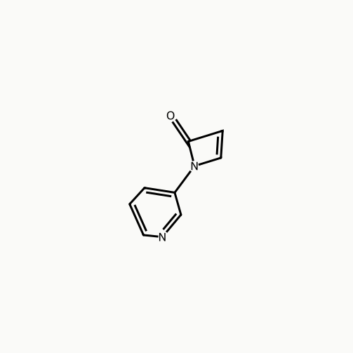 O=C1C=CN1c1cccnc1